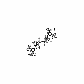 Cc1nc(NCCNc2nc(C)nc(Nc3cc(C(=O)O)cc(C(=O)O)c3)n2)nc(Nc2cc(C(=O)O)cc(C(=O)O)c2)n1